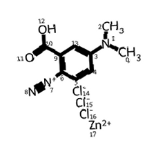 CN(C)c1ccc([N+]#N)c(C(=O)O)c1.[Cl-].[Cl-].[Cl-].[Zn+2]